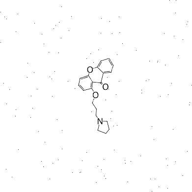 O=c1c2ccccc2oc2cccc(OCCCN3CCCC3)c12